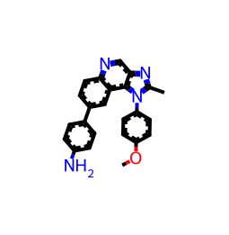 COc1ccc(-n2c(C)nc3cnc4ccc(-c5ccc(N)cc5)cc4c32)cc1